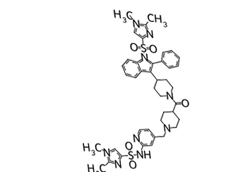 Cc1nc(S(=O)(=O)Nc2cc(CN3CCC(C(=O)N4CCC(c5c(-c6ccccc6)n(S(=O)(=O)c6cn(C)c(C)n6)c6ccccc56)CC4)CC3)ccn2)cn1C